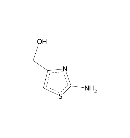 Nc1nc(CO)cs1